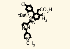 Cc1cc2nc(-c3ccnc(C4=CCN(C)CC4)n3)sc2c(-c2ccc(Cl)cc2OC(C)(C)C)c1CC(=O)O